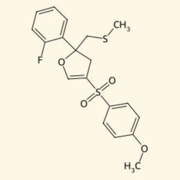 COc1ccc(S(=O)(=O)C2=COC(CSC)(c3ccccc3F)C2)cc1